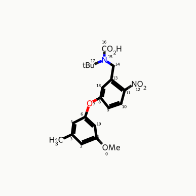 COc1cc(C)cc(Oc2ccc([N+](=O)[O-])c(CN(C(=O)O)C(C)(C)C)c2)c1